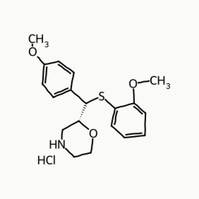 COc1ccc(C(Sc2ccccc2OC)[C@H]2CNCCO2)cc1.Cl